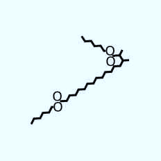 CCCCCCOC(=O)CCCCCCCCCCCCCC(C)C(C)C(=O)OCCCCCC